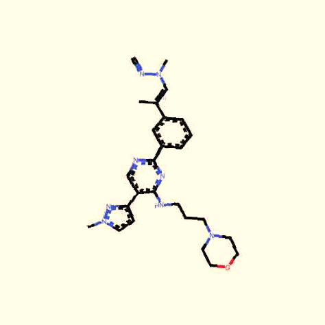 C=NN(C)/C=C(\C)c1cccc(-c2ncc(-c3ccn(C)n3)c(NCCCN3CCOCC3)n2)c1